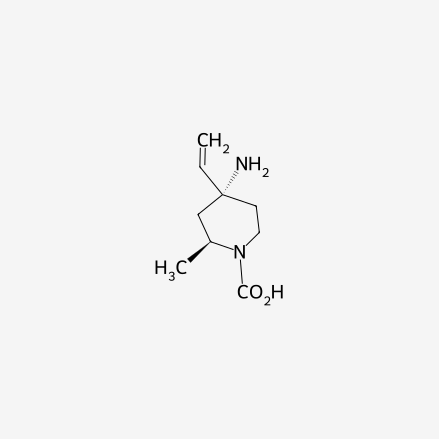 C=C[C@@]1(N)CCN(C(=O)O)[C@@H](C)C1